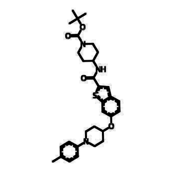 Cc1ccc(N2CCC(Oc3ccc4cc(C(=O)NC5CCN(C(=O)OC(C)(C)C)CC5)sc4c3)CC2)cc1